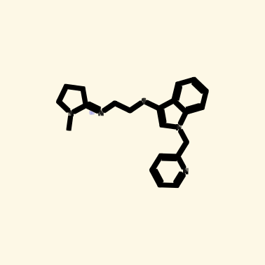 CN1CCC/C1=N\CCSc1cn(Cc2ccccn2)c2ccccc12